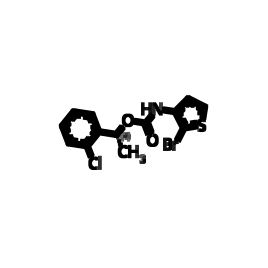 C[C@@H](OC(=O)Nc1ccsc1Br)c1ccccc1Cl